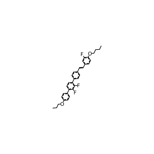 CCCCOc1ccc(/C=C/c2ccc(-c3ccc(-c4ccc(OCCC)cc4)c(F)c3F)cc2)cc1F